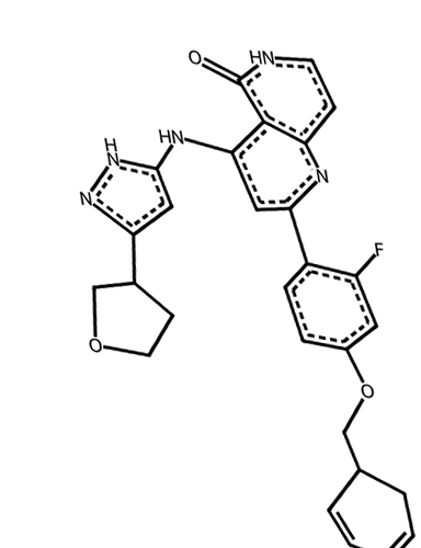 O=c1[nH]ccc2nc(-c3ccc(OCC4C=CN=CC4)cc3F)cc(Nc3cc(C4CCOC4)n[nH]3)c12